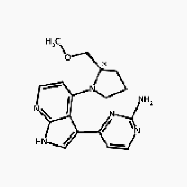 COC[C@H]1CCCN1c1ccnc2[nH]cc(-c3ccnc(N)n3)c12